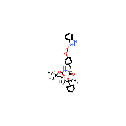 CC(C)(C)OC(=O)N[C@H](Cc1ccc(OCOn2nnc3ccccc32)cc1)C(=O)OC(C)(C)c1ccccc1